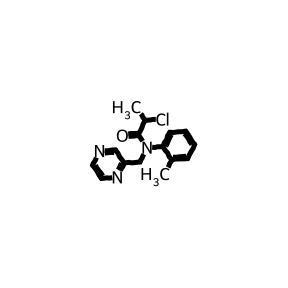 Cc1ccccc1N(Cc1cnccn1)C(=O)C(C)Cl